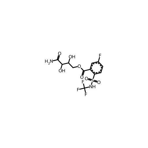 NC(=O)C(O)C(O)COC(=O)c1cc(F)ccc1S(=O)(=O)NC(F)(F)F